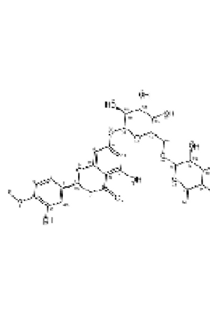 COc1ccc([C@@H]2CC(=O)c3c(O)cc(OC4OC(COC5OC(C)C(O)C(O)[C@@H]5O)C(O)C(O)[C@@H]4O)cc3O2)cc1O